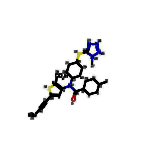 CC1CCC(C(=O)N(c2cc(C#CC(C)(C)C)sc2C(=O)O)C2CCC(Sc3nnnn3C)CC2)CC1